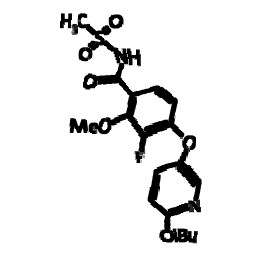 COc1c(C(=O)NS(C)(=O)=O)ccc(Oc2ccc(OCC(C)C)nc2)c1F